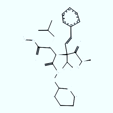 CC(C)C[C@@H](C(=O)NN)[C@H](C(=O)NOC1CCCCO1)C(/C=C/c1ccccc1)(C(=O)[C@@H](C)N)C(C)C